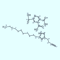 CCCCCCCCCCCc1nc(CCC#N)c[nH]1.O=C(O)c1ccc(C(=O)O)c(C(=O)O)c1